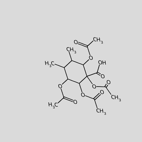 CC(=O)OC1C(C)C(C)C(OC(C)=O)C(OC(C)=O)(C(=O)O)C1OC(C)=O